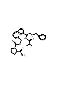 CC(C)C(=O)N[C@H](COCc1ccccc1)c1ncc2cccc(COC(=O)N3CCCC3C(N)=O)n12